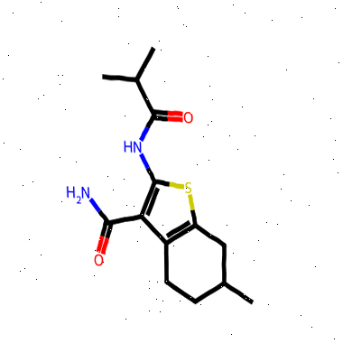 CC1CCc2c(sc(NC(=O)C(C)C)c2C(N)=O)C1